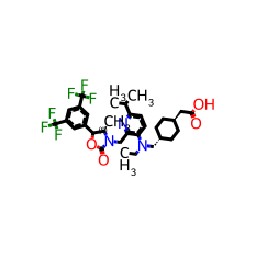 CCN(C[C@H]1CC[C@H](CC(=O)O)CC1)c1ccc(C(C)C)nc1CN1C(=O)OC(c2cc(C(F)(F)F)cc(C(F)(F)F)c2)[C@@H]1C